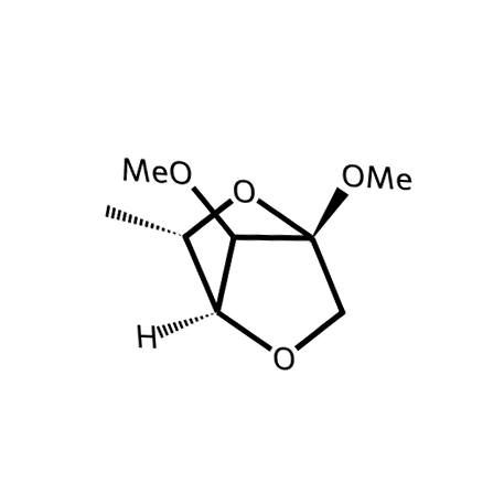 COC1[C@H]2OC[C@@]1(OC)O[C@H]2C